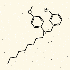 CCCCCCCCCN(Cc1cccc(Br)c1)c1ccc(OC)cc1